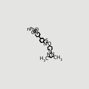 CCCS(=O)(=O)N1CC=C(c2ccc3nc(OC4CCN(c5nc(C)cc(C)n5)CC4)sc3c2)CC1